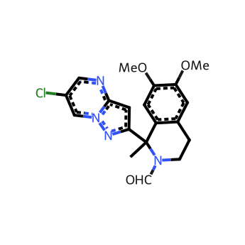 COc1cc2c(cc1OC)C(C)(c1cc3ncc(Cl)cn3n1)N(C=O)CC2